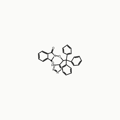 O=C1c2ccccc2C(=O)N1OC(c1nnn[nH]1)C(c1ccccc1)(c1ccccc1)c1ccccc1